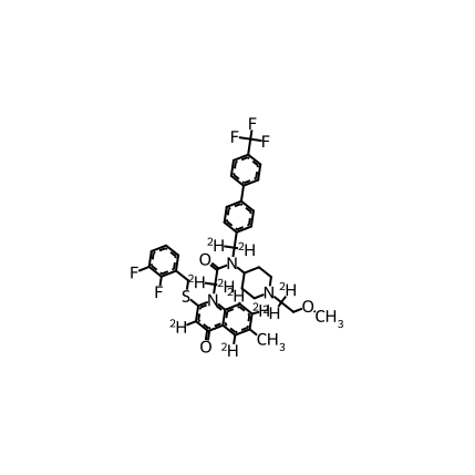 [2H]c1c(C)c([2H])c2c(=O)c([2H])c(SCc3cccc(F)c3F)n(C([2H])([2H])C(=O)N(C3CCN(C([2H])([2H])COC)CC3)C([2H])([2H])c3ccc(-c4ccc(C(F)(F)F)cc4)cc3)c2c1[2H]